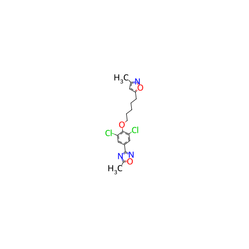 Cc1cc(CCCCCOc2c(Cl)cc(-c3noc(C)n3)cc2Cl)on1